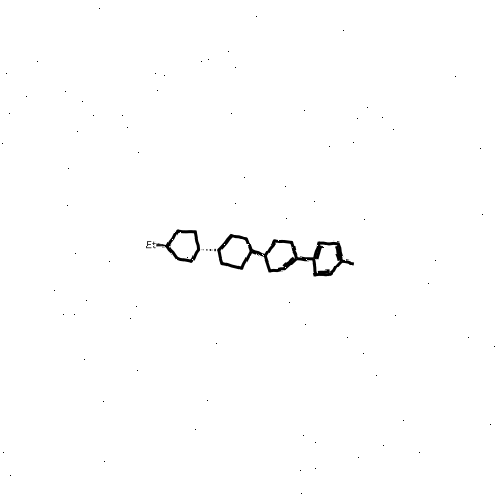 CC[C@H]1CC[C@H](C2CCC(C3CC=C(c4ccc(C)cc4)CC3)CC2)CC1